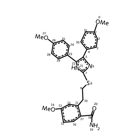 COc1ccc(-c2nc(SCCc3cc(OC)ccc3C(N)=O)[nH]c2-c2ccc(OC)cc2)cc1